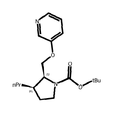 CCC[C@@H]1CCN(C(=O)OC(C)(C)C)[C@@H]1COc1cccnc1